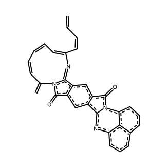 C=C/C=C\C1=C/C=C\C=C/C(=C)n2c(=O)c3cc4c5nc6cccc7cccc(c76)n-5c(=O)c4cc3/c2=N/1